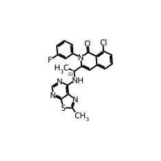 Cc1nc2c(N[C@@H](C)c3cc4cccc(Cl)c4c(=O)n3-c3cccc(F)c3)ncnc2s1